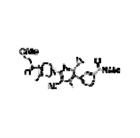 CNC(=O)c1cccc(-c2c(C3CC3)nc(N3CCN(C(=O)CCOC)[C@H](C)C3)c(C#N)c2C)c1